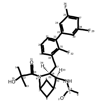 C[S+]([O-])N[C@H]1C2CC(C2)N(C(=O)C(C)(C)O)[C@H]1Cc1cccc(-c2cc(F)cc(F)c2)c1F